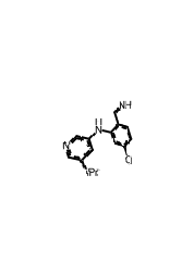 CC(C)c1cncc(Nc2cc(Cl)ccc2C=N)c1